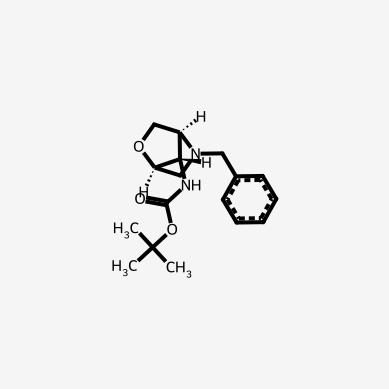 CC(C)(C)OC(=O)N[C@H]1[C@H]2CO[C@@H]1CN2Cc1ccccc1